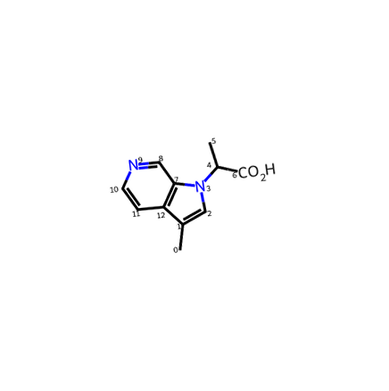 Cc1cn(C(C)C(=O)O)c2cnccc12